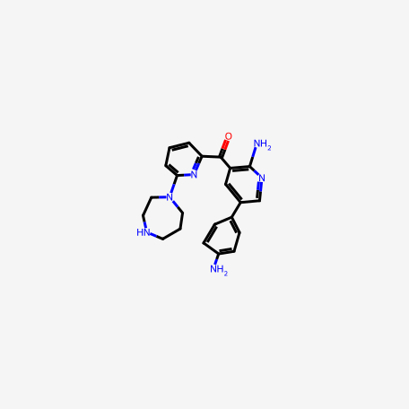 Nc1ccc(-c2cnc(N)c(C(=O)c3cccc(N4CCCNCC4)n3)c2)cc1